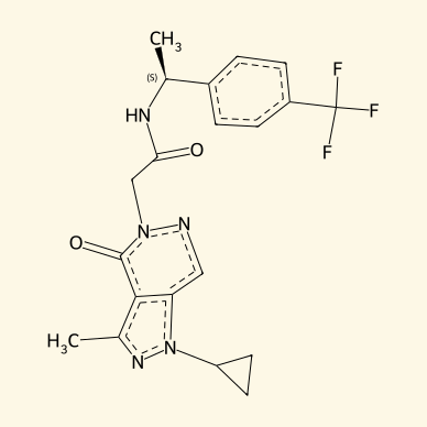 Cc1nn(C2CC2)c2cnn(CC(=O)N[C@@H](C)c3ccc(C(F)(F)F)cc3)c(=O)c12